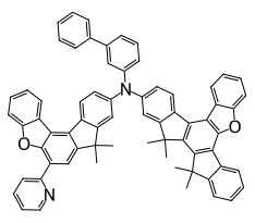 CC1(C)c2cc(N(c3cccc(-c4ccccc4)c3)c3ccc4c(c3)C(C)(C)c3c5c(c6oc7ccccc7c6c3-4)-c3ccccc3C5(C)C)ccc2-c2c1cc(-c1ccccn1)c1oc3ccccc3c21